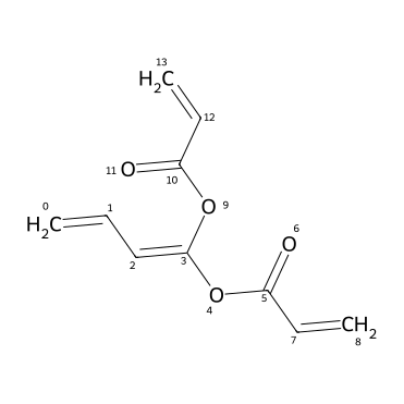 C=CC=C(OC(=O)C=C)OC(=O)C=C